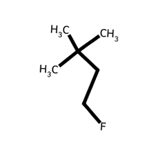 CC(C)(C)CCF